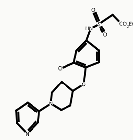 CCOC(=O)CS(=O)(=O)Nc1ccc(OC2CCN(c3cccnc3)CC2)c(Cl)c1